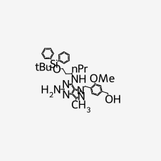 CCCC(CCO[Si](c1ccccc1)(c1ccccc1)C(C)(C)C)Nc1nc(N)nc2c(C)nn(Cc3ccc(CO)cc3OC)c12